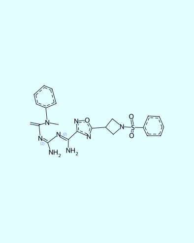 C=C(/N=C(N)\N=C(/N)c1noc(C2CN(S(=O)(=O)c3ccccc3)C2)n1)N(C)c1ccccc1